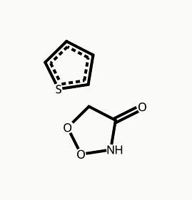 O=C1COON1.c1ccsc1